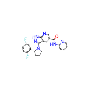 O=C(Nc1ccccn1)c1cnc2[nH]nc(N3CCC[C@@H]3c3cc(F)ccc3F)c2c1